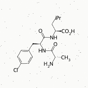 CC(C)C[C@H](NC(=O)[C@H](Cc1ccc(Cl)cc1)NC(=O)[C@H](C)N)C(=O)O